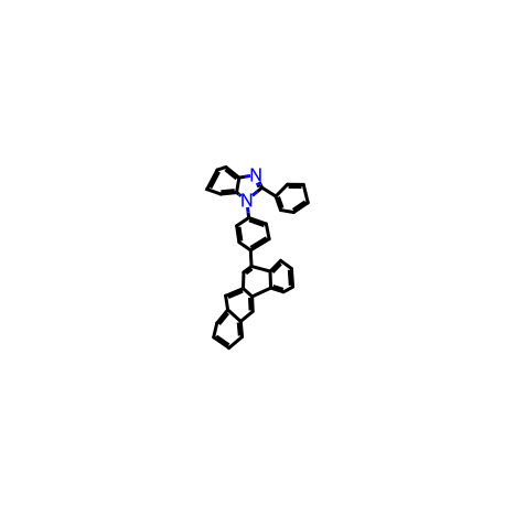 c1ccc(-c2nc3ccccc3n2-c2ccc(-c3cc4cc5ccccc5cc4c4ccccc34)cc2)cc1